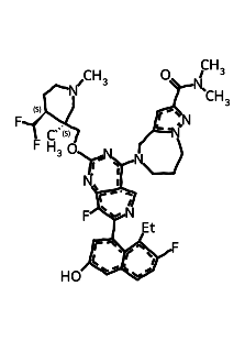 CCc1c(F)ccc2cc(O)cc(-c3ncc4c(N5CCCn6nc(C(=O)N(C)C)cc6C5)nc(OC[C@]5(C)CN(C)CC[C@@H]5C(F)F)nc4c3F)c12